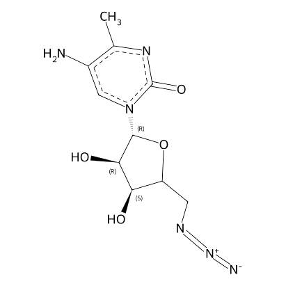 Cc1nc(=O)n([C@@H]2OC(CN=[N+]=[N-])[C@@H](O)[C@H]2O)cc1N